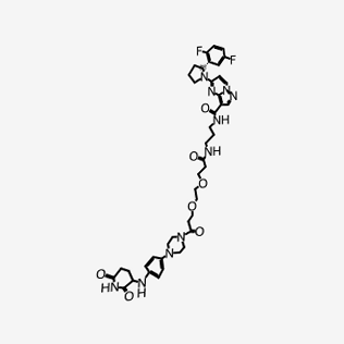 O=C(CCOCCOCCC(=O)N1CCN(c2ccc(NC3CCC(=O)NC3=O)cc2)CC1)NCCCNC(=O)c1cnn2ccc(N3CCC[C@@H]3c3cc(F)ccc3F)nc12